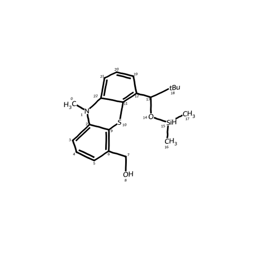 CN1c2cccc(CO)c2Sc2c(C(O[SiH](C)C)C(C)(C)C)cccc21